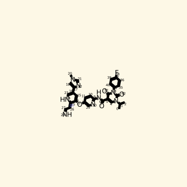 CC(C)n1cc(C(=O)Nc2ccc(OC3=CC(c4cn(C)cn4)=CN/C3=C\C=N)cn2)c(=O)n(-c2ccc(F)cc2)c1=O